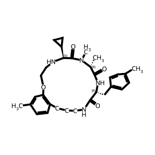 Cc1ccc(C[C@H]2NC(=O)[C@@H](C)N(C)C(=O)[C@H](C3CC3)NCCOc3cc(C)ccc3CCCNC2=O)cc1